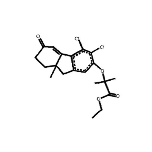 CCOC(=O)C(C)(C)Oc1cc2c(c(Cl)c1Cl)C1=CC(=O)CCC1(C)C2